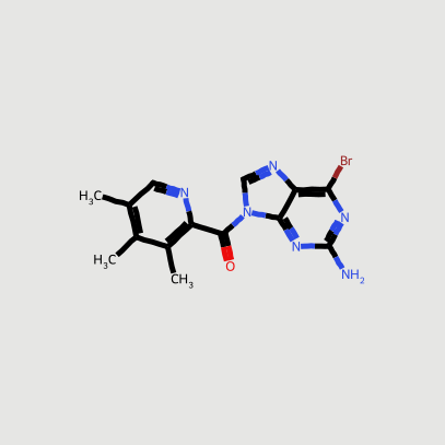 Cc1cnc(C(=O)n2cnc3c(Br)nc(N)nc32)c(C)c1C